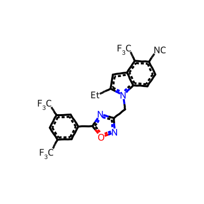 [C-]#[N+]c1ccc2c(cc(CC)n2Cc2noc(-c3cc(C(F)(F)F)cc(C(F)(F)F)c3)n2)c1C(F)(F)F